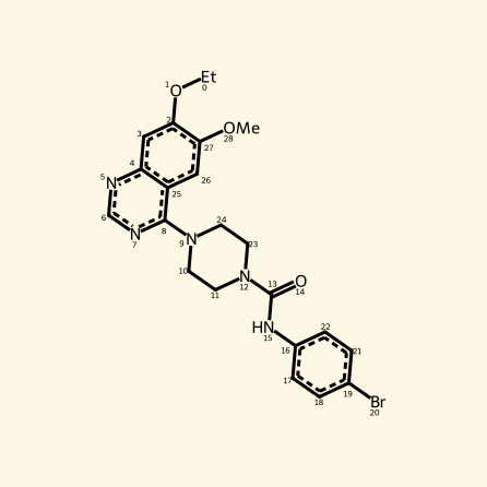 CCOc1cc2ncnc(N3CCN(C(=O)Nc4ccc(Br)cc4)CC3)c2cc1OC